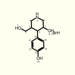 Br.OCC1CNCC(O)C1c1ccc(O)cc1